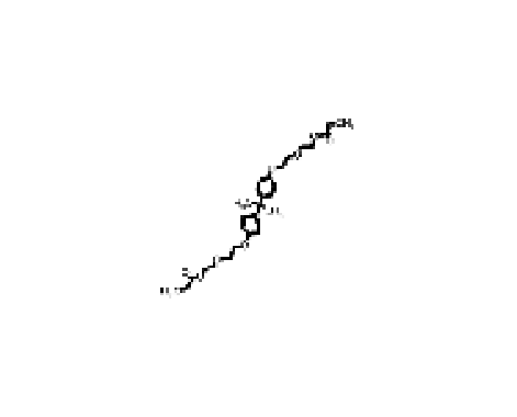 C=CC(=O)OCCOCCOc1ccc(C(C)(C)c2ccc(OCCOCCOC(=O)C=C)cc2)cc1